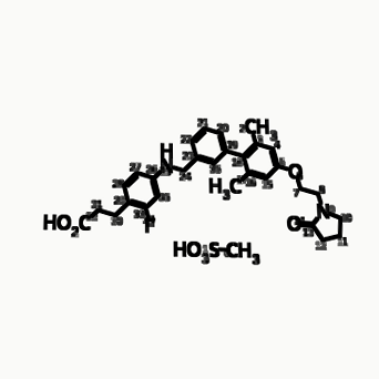 CS(=O)(=O)O.Cc1cc(OCCN2CCCC2=O)cc(C)c1-c1cccc(CNc2ccc(CCC(=O)O)c(F)c2)c1